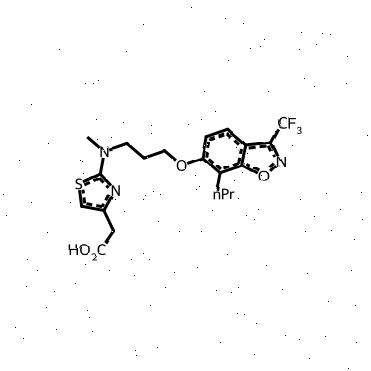 CCCc1c(OCCCN(C)c2nc(CC(=O)O)cs2)ccc2c(C(F)(F)F)noc12